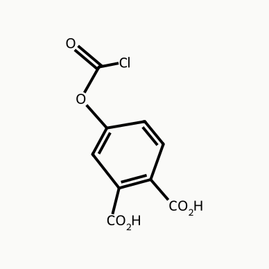 O=C(Cl)Oc1ccc(C(=O)O)c(C(=O)O)c1